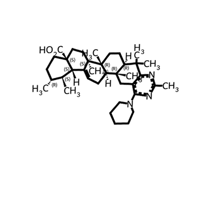 Cc1nc(N2CCCCC2)c2c(n1)C(C)(C)[C@@H]1CC[C@]3(C)[C@H](CC=C4[C@@H]5[C@@H](C)[C@H](C)CC[C@]5(C(=O)O)CC[C@]43C)[C@@]1(C)C2